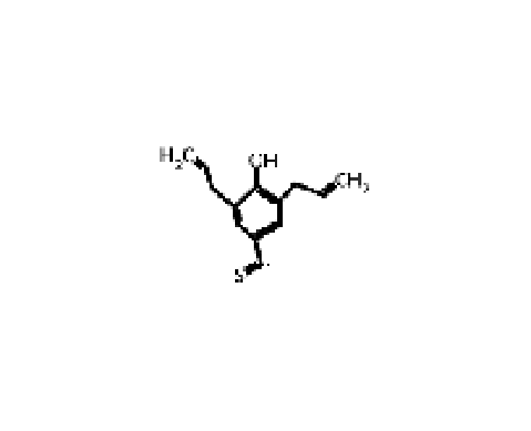 C=CCc1cc([C]=S)cc(CC=C)c1O